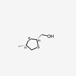 C[C@H]1CS[C@@H](CO)S1